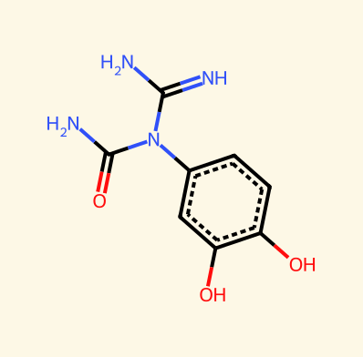 N=C(N)N(C(N)=O)c1ccc(O)c(O)c1